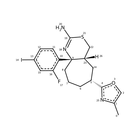 Cc1coc([C@@H]2CCC[C@]3(c4ccc(I)cc4F)N=C(N)SC[C@@H]3C2)n1